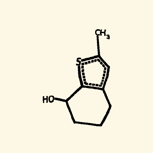 Cc1cc2c(s1)C(O)CCC2